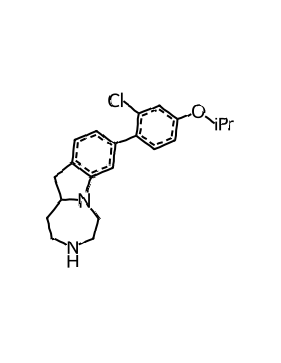 CC(C)Oc1ccc(-c2ccc3c(c2)N2CCNCCC2C3)c(Cl)c1